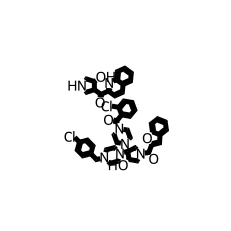 O=C(c1cc2ccccc2o1)N1CC(O)C(N2CCN(Cc3ccc(Cl)cc3)CC2)(N2CCN(C(=O)c3ccccc3Cl)CC2)C1.O=C(c1ccc2ccccc2n1)C1CNCC1O